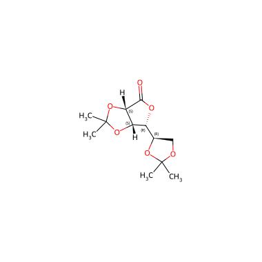 CC1(C)O[C@H]2[C@@H]([C@H]3COC(C)(C)O3)OC(=O)[C@H]2O1